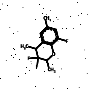 Cc1cc(F)c2c(c1)C(C)C(F)(F)C(C)O2